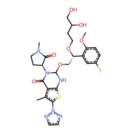 COc1ccc(F)cc1[C@H](COC1Nc2sc(-n3nccn3)c(C)c2C(=O)N1[C@H]1CCN(C)C1=O)OCCC(O)CO